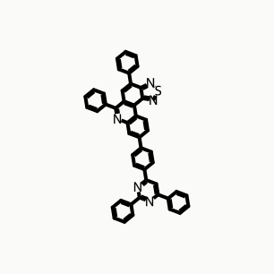 c1ccc(-c2cc(-c3ccc(-c4ccc5c(c4)nc(-c4ccccc4)c4cc(-c6ccccc6)c6nsnc6c45)cc3)nc(-c3ccccc3)n2)cc1